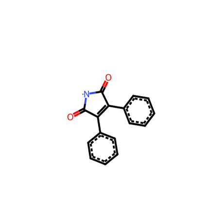 O=C1[N]C(=O)C(c2ccccc2)=C1c1ccccc1